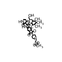 Cc1c(C)c(C)c(C[C@H](CO)Nc2cc[nH]c(=O)c2-c2nc3cc4c(cc3[nH]2)C(=O)N(C2CCN(CCS(C)(=O)=O)CC2)C4=O)c(C)c1C